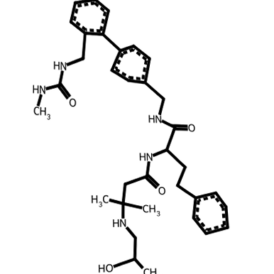 CNC(=O)NCc1ccccc1-c1ccc(CNC(=O)C(CCc2ccccc2)NC(=O)CC(C)(C)NCC(C)O)cc1